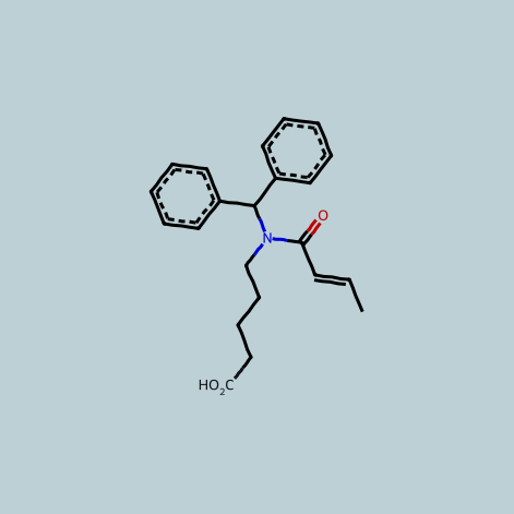 C/C=C/C(=O)N(CCCCC(=O)O)C(c1ccccc1)c1ccccc1